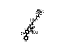 CCOC(CCCNCCCCN(Cc1ccc(-c2ccccc2)c(Cl)c1)C(=O)OC(C)(C)C)OCC